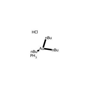 CCC[CH2][Au]([CH2]CCC)[CH2]CCC.Cl.P